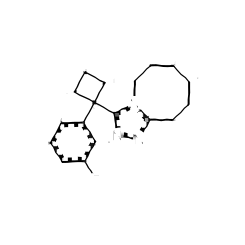 Fc1cccc(C2(c3nnc4n3CCCCCC4)CCC2)c1